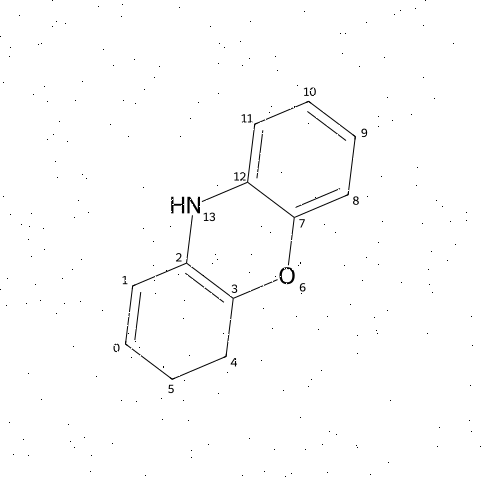 C1=CC2=C(CC1)Oc1ccccc1N2